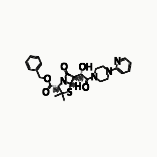 CC1(C)S[C@@H]2[C@H]([C@H](O)C(=O)N3CCN(c4ccccn4)CC3)C(=O)N2[C@H]1C(=O)OCc1ccccc1